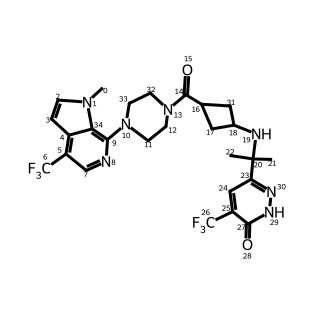 Cn1ccc2c(C(F)(F)F)cnc(N3CCN(C(=O)C4CC(NC(C)(C)c5cc(C(F)(F)F)c(=O)[nH]n5)C4)CC3)c21